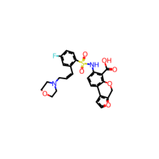 O=C(O)c1c(NS(=O)(=O)c2ccc(F)cc2/C=C\CN2CCOCC2)ccc2c1OCc1occc1-2